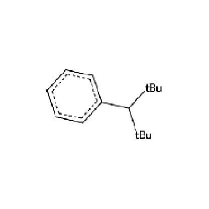 CC(C)(C)C(c1ccccc1)C(C)(C)C